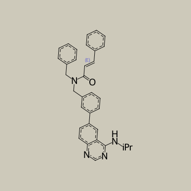 CC(C)Nc1ncnc2ccc(-c3cccc(CN(Cc4ccccc4)C(=O)/C=C/c4ccccc4)c3)cc12